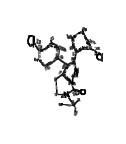 CC(C)(C)N1CCc2c(-c3ccc(Cl)cc3)c(-c3ccccc3Cl)nn2C1=O